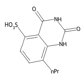 CCCc1ccc(S(=O)(=O)O)c2c(=O)[nH]c(=O)[nH]c12